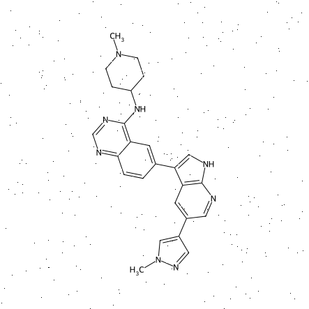 CN1CCC(Nc2ncnc3ccc(-c4c[nH]c5ncc(-c6cnn(C)c6)cc45)cc23)CC1